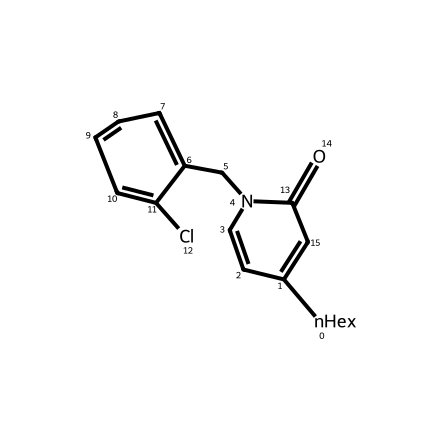 CCCCCCc1ccn(Cc2ccccc2Cl)c(=O)c1